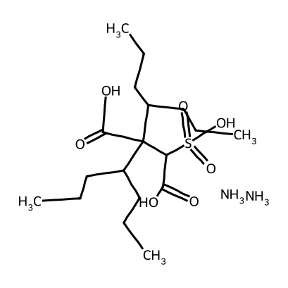 CCCC(CCC)C(C(=O)O)(C(CCC)CCC)C(C(=O)O)S(=O)(=O)O.N.N